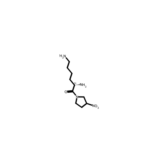 NCCCC[C@H](N)C(=O)N1CCC([N+](=O)[O-])C1